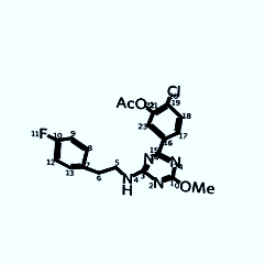 COc1nc(NCCc2ccc(F)cc2)nc(-c2ccc(Cl)c(OC(C)=O)c2)n1